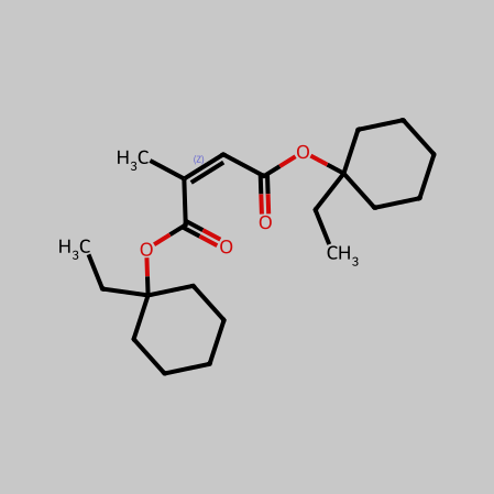 CCC1(OC(=O)/C=C(/C)C(=O)OC2(CC)CCCCC2)CCCCC1